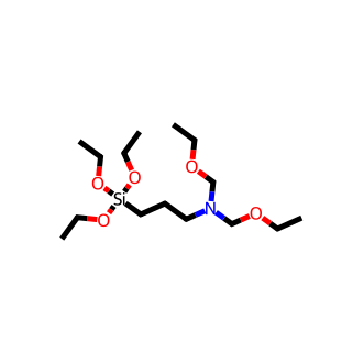 CCOCN(CCC[Si](OCC)(OCC)OCC)COCC